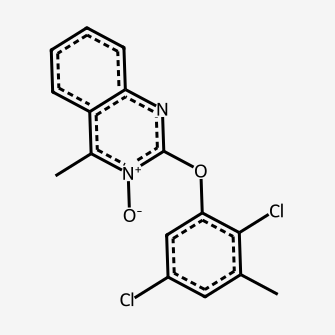 Cc1cc(Cl)cc(Oc2nc3ccccc3c(C)[n+]2[O-])c1Cl